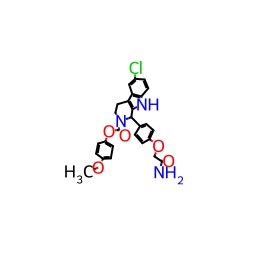 COc1ccc(OC(=O)N2CCc3c([nH]c4ccc(Cl)cc34)C2c2ccc(OCC(N)=O)cc2)cc1